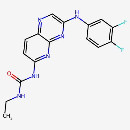 CCNC(=O)Nc1ccc2ncc(Nc3ccc(F)c(F)c3)nc2n1